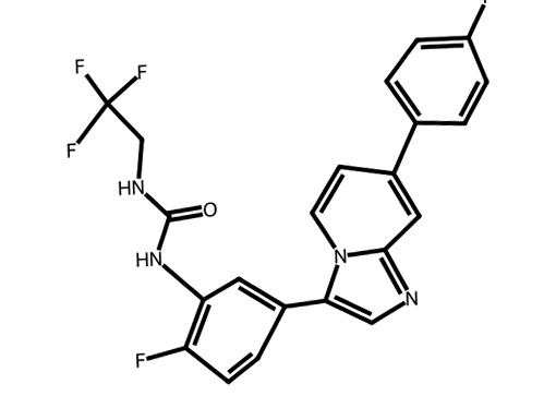 O=C(NCC(F)(F)F)Nc1cc(-c2cnc3cc(-c4ccc(F)cc4)ccn23)ccc1F